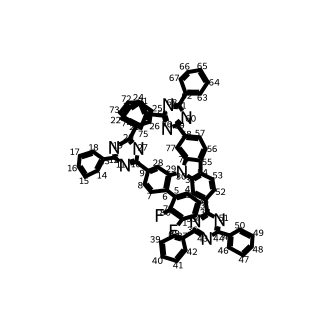 Fc1cccc(-c2ccc(-c3nc(-c4ccccc4)nc(-c4ccccc4)n3)cc2-n2c3cc(-c4nc(-c5ccccc5)nc(-c5ccccc5)n4)ccc3c3ccc(-c4nc(-c5ccccc5)nc(-c5ccccc5)n4)cc32)c1F